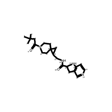 CC(C)(C)CC(=O)N1CCC2(CC1)CC2CNC(=O)C1Cc2cnccc2N1